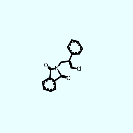 O=C1c2ccccc2C(=O)N1CC(=CCl)c1ccccc1